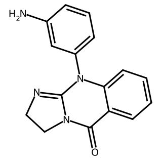 Nc1cccc(N2C3=NCCN3C(=O)c3ccccc32)c1